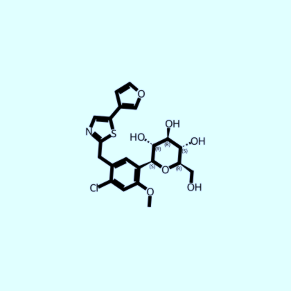 COc1cc(Cl)c(Cc2ncc(-c3ccoc3)s2)cc1[C@@H]1O[C@H](CO)[C@@H](O)[C@H](O)[C@H]1O